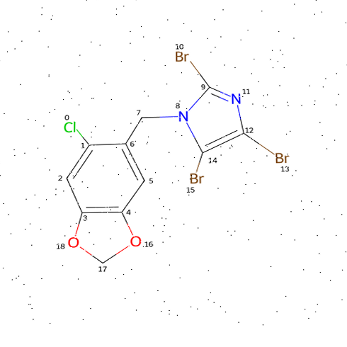 Clc1cc2c(cc1Cn1c(Br)nc(Br)c1Br)OCO2